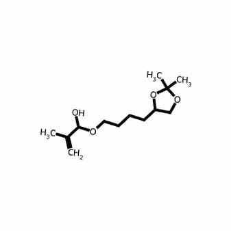 C=C(C)C(O)OCCCCC1COC(C)(C)O1